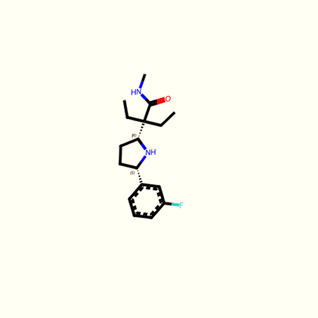 CCC(CC)(C(=O)NC)[C@H]1CC[C@@H](c2cccc(F)c2)N1